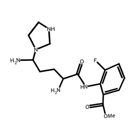 COC(=O)c1cccc(F)c1NC(=O)C(N)CCC(N)N1CCNC1